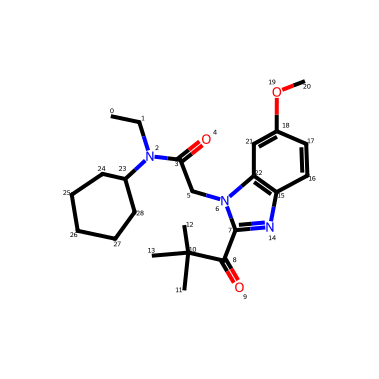 CCN(C(=O)Cn1c(C(=O)C(C)(C)C)nc2ccc(OC)cc21)C1CCCCC1